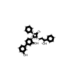 O=C1[C@H](CC[C@H](O)c2ccccc2)[C@@H](c2ccc(-c3cccc(O)c3)cc2O)N1c1ccccc1